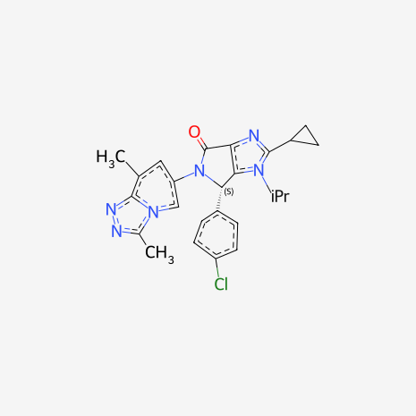 Cc1cc(N2C(=O)c3nc(C4CC4)n(C(C)C)c3[C@@H]2c2ccc(Cl)cc2)cn2c(C)nnc12